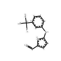 O=Cc1ccc(Sc2cccc(C(F)(F)F)c2)o1